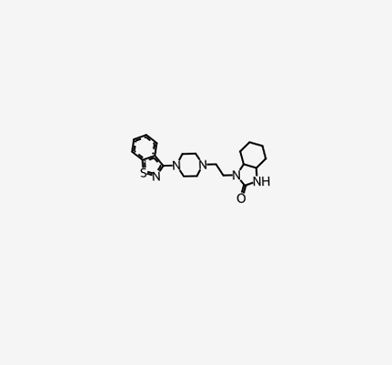 O=C1NC2CCCCC2N1CCN1CCN(c2nsc3ccccc23)CC1